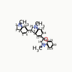 CN1CCc2ccc(C3Cc4cc(C5CN(C)c6ccccc6O5)ccc4N(C)C3)cc21